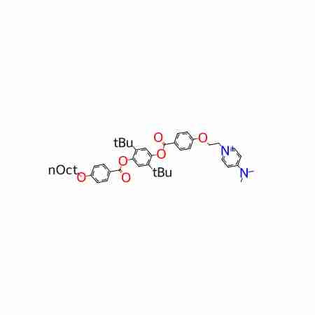 CCCCCCCCOc1ccc(C(=O)Oc2cc(C(C)(C)C)c(OC(=O)c3ccc(OCC[n+]4ccc(N(C)C)cc4)cc3)cc2C(C)(C)C)cc1